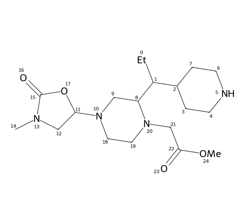 CCC(C1CCNCC1)C1CN(C2CN(C)C(=O)O2)CCN1CC(=O)OC